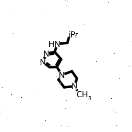 CC(C)CNc1cc(N2CCN(C)CC2)cnn1